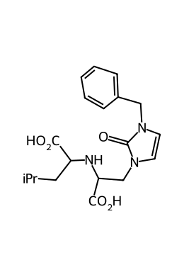 CC(C)CC(NC(Cn1ccn(Cc2ccccc2)c1=O)C(=O)O)C(=O)O